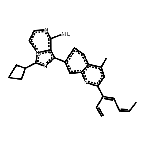 C=C/C(=C\C=C/C)c1cc(C)c2ccc(-c3nc(C4CCC4)n4ccnc(N)c34)cc2n1